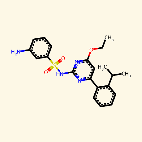 CCOc1cc(-c2ccccc2C(C)C)nc(NS(=O)(=O)c2cccc(N)c2)n1